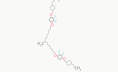 CCCC1CCC(COc2ccc(OCCCCCCCC(C)CCCCCCCOc3ccc(OCC4CCC(CCC)CC4)c(F)c3F)c(F)c2F)CC1